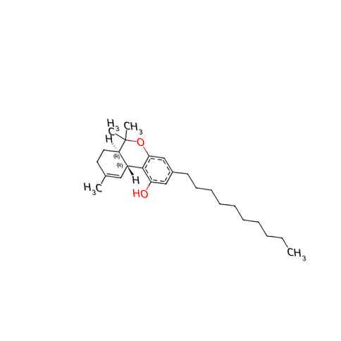 CCCCCCCCCCc1cc(O)c2c(c1)OC(C)(C)[C@@H]1CCC(C)=C[C@@H]21